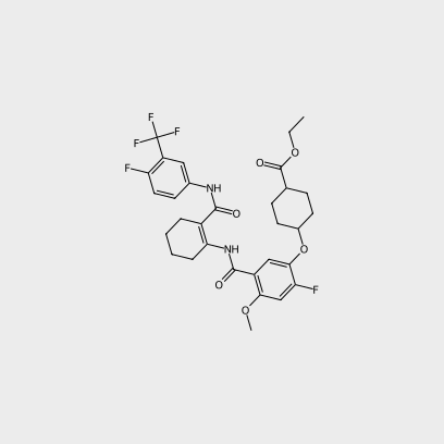 CCOC(=O)C1CCC(Oc2cc(C(=O)NC3=C(C(=O)Nc4ccc(F)c(C(F)(F)F)c4)CCCC3)c(OC)cc2F)CC1